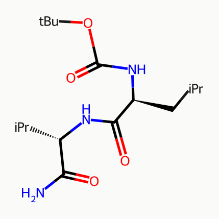 CC(C)C[C@H](NC(=O)OC(C)(C)C)C(=O)N[C@H](C(N)=O)C(C)C